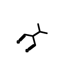 CC(C)C(C=O)C=O